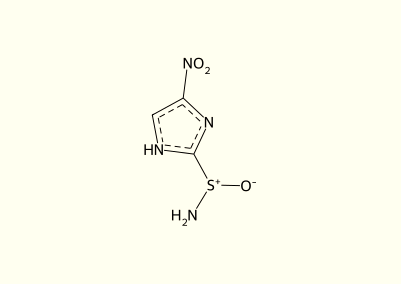 N[S+]([O-])c1nc([N+](=O)[O-])c[nH]1